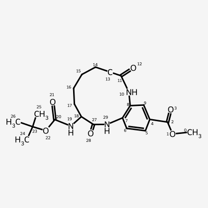 COC(=O)c1ccc2c(c1)NC(=O)CCCCCC(NC(=O)OC(C)(C)C)C(=O)N2